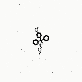 CCOCCSC(c1ccccc1)(c1ccccc1)c1ccc(OC)cc1